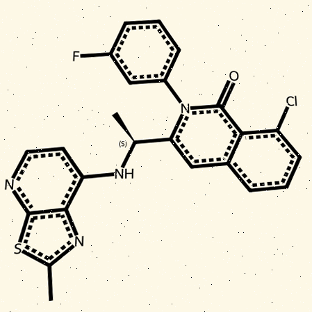 Cc1nc2c(N[C@@H](C)c3cc4cccc(Cl)c4c(=O)n3-c3cccc(F)c3)ccnc2s1